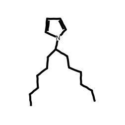 CCCCCCC(CCCCCC)n1cccc1